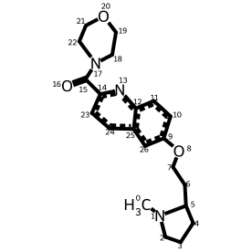 CN1CCCC1CCOc1ccc2nc(C(=O)N3CCOCC3)ccc2c1